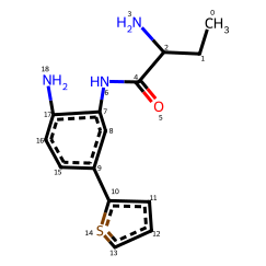 CCC(N)C(=O)Nc1cc(-c2cccs2)ccc1N